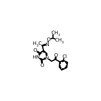 C/C(=N\OC(C)C)c1cn(CC(=O)c2ccccc2Cl)c(=O)[nH]c1=O